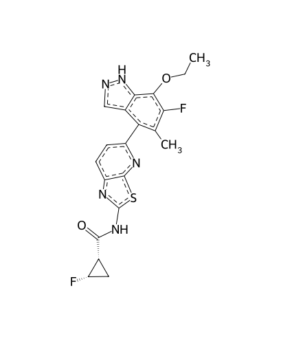 CCOc1c(F)c(C)c(-c2ccc3nc(NC(=O)[C@@H]4C[C@@H]4F)sc3n2)c2cn[nH]c12